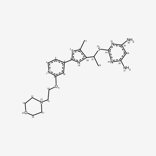 Cc1sc(-c2ccnc(OCCN3CCOCC3)c2)nc1C(C)Sc1nc(N)cc(N)n1